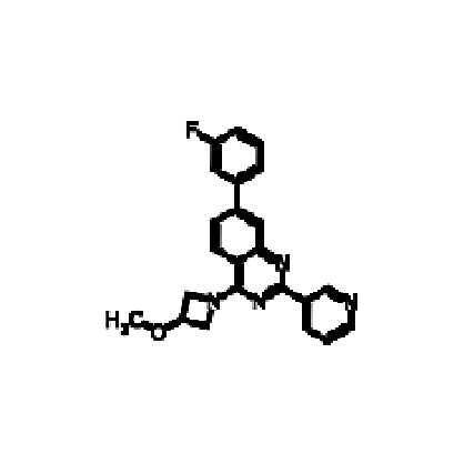 COC1CN(c2nc(-c3cccnc3)nc3cc(-c4cccc(F)c4)ccc23)C1